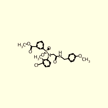 COC(=O)c1cccc(S(=O)(=O)N(CC(=O)NCc2ccc(OC)cc2)c2cccc(Cl)c2C)c1